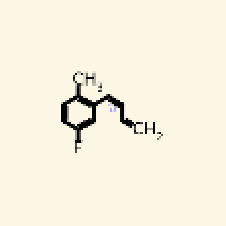 C=C/C=C\c1cc(F)ccc1C